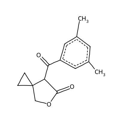 Cc1cc(C)cc(C(=O)C2C(=O)OCC23CC3)c1